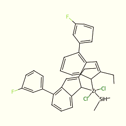 CCC1=Cc2c(-c3cccc(F)c3)cccc2[CH]1[Zr]([Cl])([Cl])([CH]1C(CC)=Cc2c(-c3cccc(F)c3)cccc21)[SiH](C)C